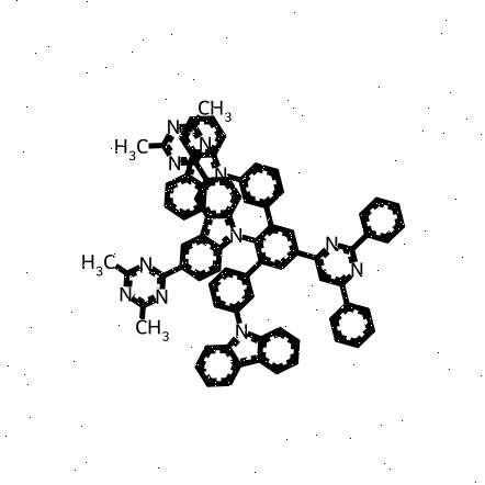 Cc1nc(C)nc(-c2ccc3c(c2)c2cc(-c4nc(C)nc(C)n4)ccc2n3-c2c(-c3cccc(-n4c5ccccc5c5ccccc54)c3)cc(-c3cc(-c4ccccc4)nc(-c4ccccc4)n3)cc2-c2cccc(-n3c4ccccc4c4ccccc43)c2)n1